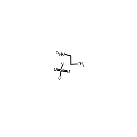 CCCO.O=S(=O)([O-])[O-].[Cu+2]